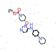 CC(C)OC(=O)N1CCC(ON2CN=CC=C2Nc2ccc(N3CCCCC3)cc2)CC1